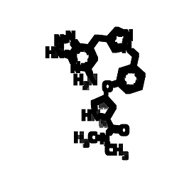 CN(C)C(=O)[C@@H]1C[C@@H](Oc2cccc(Cn3cc(Cc4cc(N)nc5[nH]nnc45)cn3)c2)CN1